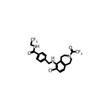 O=C(NCC(F)(F)F)c1ccc(CNc2c(Cl)ccc3c2CCN(C(=O)C(F)(F)F)CC3)cc1